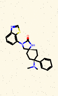 CN(C)[C@]1(c2ccccc2)CC[C@@]2(CC1)CN(c1cccc3ncsc13)C(=O)N2